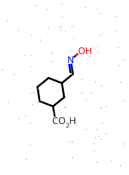 O=C(O)C1CCCC(/C=N/O)C1